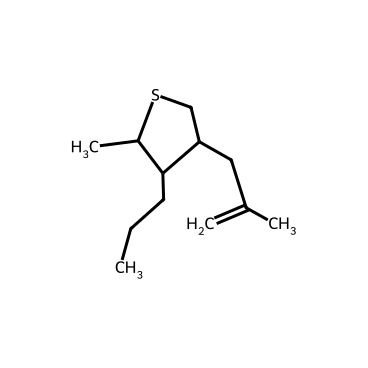 C=C(C)CC1CSC(C)C1CCC